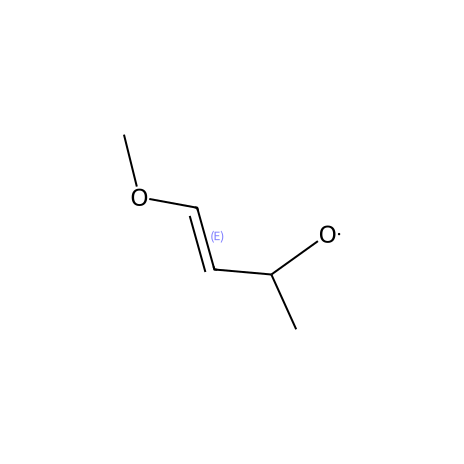 CO/C=C/C(C)[O]